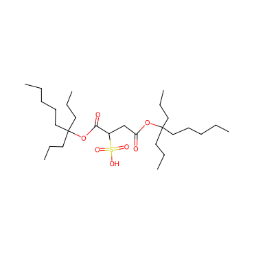 CCCCCC(CCC)(CCC)OC(=O)CC(C(=O)OC(CCC)(CCC)CCCCC)S(=O)(=O)O